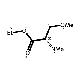 CCOC(=O)[C@H](COC)NC